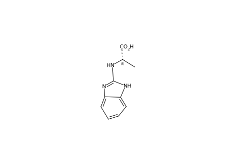 C[C@H](Nc1nc2ccccc2[nH]1)C(=O)O